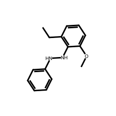 CCc1cccc(OC)c1NNc1ccccc1